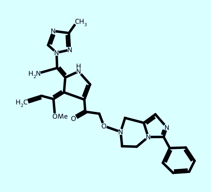 C=C/C(OC)=c1/c(C(=O)CON2CCn3c(cnc3-c3ccccc3)C2)c[nH]/c1=C(/N)n1cnc(C)n1